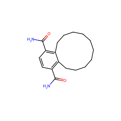 NC(=O)c1ccc(C(N)=O)c2c1CCCCCCCCCC2